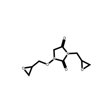 O=C1CN(OCC2CO2)C(=O)N1CC1CO1